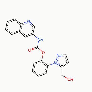 O=C(Nc1cnc2ccccc2c1)Oc1ccccc1-n1nccc1CO